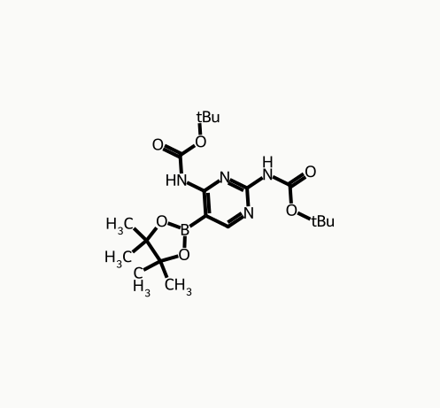 CC(C)(C)OC(=O)Nc1ncc(B2OC(C)(C)C(C)(C)O2)c(NC(=O)OC(C)(C)C)n1